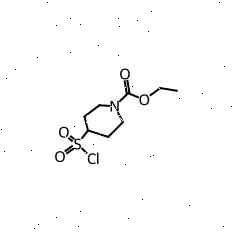 CCOC(=O)N1CCC(S(=O)(=O)Cl)CC1